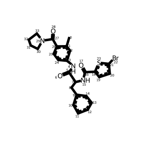 Cc1cc(NC(=O)C(Cc2ccccc2)NC(=O)c2ccc(Br)s2)ccc1C(=O)N1CCCC1